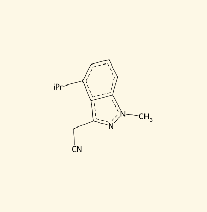 CC(C)c1cccc2c1c(CC#N)nn2C